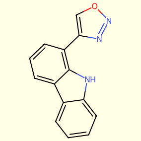 c1ccc2c(c1)[nH]c1c(-c3conn3)cccc12